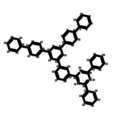 c1ccc(-c2ccc(-c3cc(-c4ccc(-c5ccccc5)cc4)cc(-c4cccc(-c5nc(-c6ccccc6)nc(-c6ccccc6)n5)c4)c3)cc2)cc1